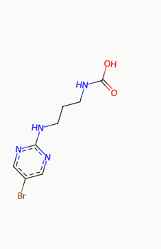 O=C(O)NCCCNc1ncc(Br)cn1